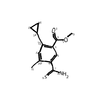 COC(=O)c1cc(C(N)=S)c(C)cc1C1CC1